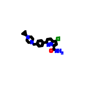 NC(=O)c1cc(Cl)c2ccc(-c3ccc(CN4CCN(C5CC5)CC4)cc3)nn12